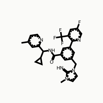 Cc1ccnc(C(NC(=O)c2cc(Cn3ccn(C)c3=N)cc(-c3ncc(F)cc3C(F)(F)F)c2)C2CC2)c1